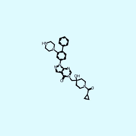 O=C(C1CC1)N1CCC(O)(Cn2cnc3c(cnn3-c3ccc(-c4ccccc4)c(N4CCNCC4)c3)c2=O)CC1